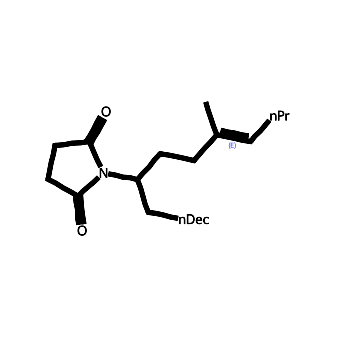 CCC/C=C(\C)CCC(CCCCCCCCCCC)N1C(=O)CCC1=O